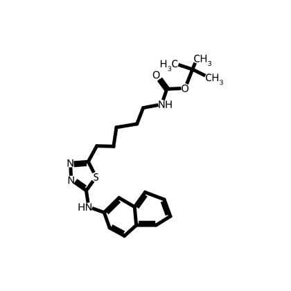 CC(C)(C)OC(=O)NCCCCCc1nnc(Nc2ccc3ccccc3c2)s1